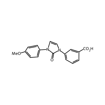 COc1ccc(-n2ccn(-c3cccc(C(=O)O)c3)c2=O)cc1